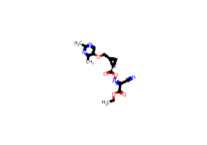 CCOC(=O)/C(C#N)=N/OC(=O)[C@@H]1CC1COc1cnc(C)nc1C